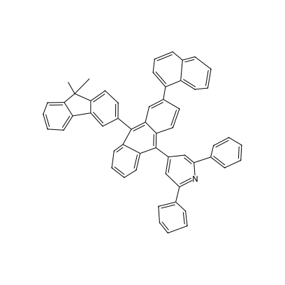 CC1(C)c2ccccc2-c2cc(-c3c4ccccc4c(-c4cc(-c5ccccc5)nc(-c5ccccc5)c4)c4ccc(-c5cccc6ccccc56)cc34)ccc21